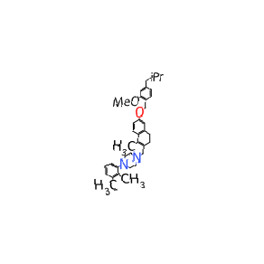 COc1cc(CC(C)C)ccc1COc1ccc2c(c1)CCC(CN1CCN(c3cccc(C)c3C)CC1)=C2C